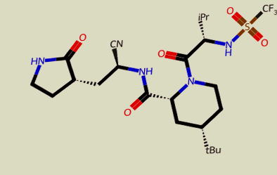 CC(C)[C@H](NS(=O)(=O)C(F)(F)F)C(=O)N1CC[C@H](C(C)(C)C)C[C@@H]1C(=O)N[C@H](C#N)C[C@@H]1CCNC1=O